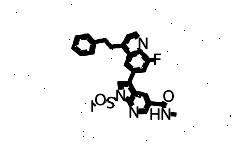 CNC(=O)c1cnc2c(c1)c(-c1cc(F)c3nccc(CCc4ccccc4)c3c1)cn2SOI